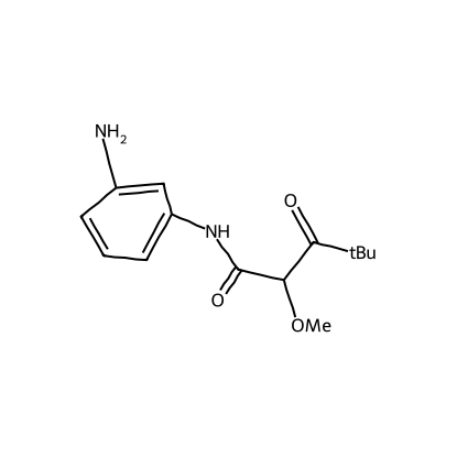 COC(C(=O)Nc1cccc(N)c1)C(=O)C(C)(C)C